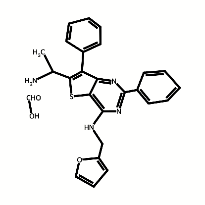 CC(N)c1sc2c(NCc3ccco3)nc(-c3ccccc3)nc2c1-c1ccccc1.O=CO